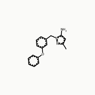 Cc1cc(N)n(Cc2cccc(Oc3ccccc3)c2)n1